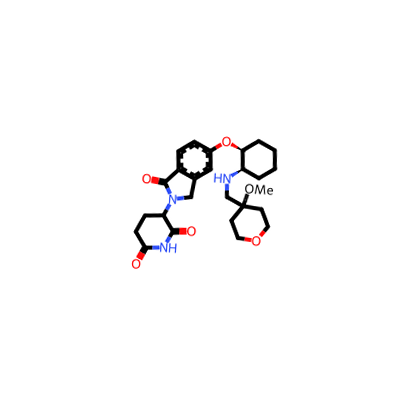 COC1(CN[C@@H]2CCCC[C@@H]2Oc2ccc3c(c2)CN(C2CCC(=O)NC2=O)C3=O)CCOCC1